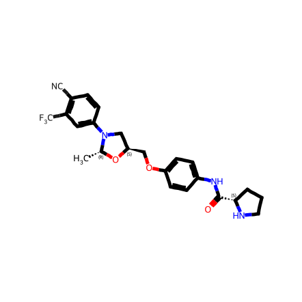 C[C@H]1O[C@H](COc2ccc(NC(=O)[C@@H]3CCCN3)cc2)CN1c1ccc(C#N)c(C(F)(F)F)c1